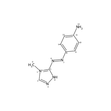 C[n+]1cn[nH]c1N=Nc1ccc(N)cc1